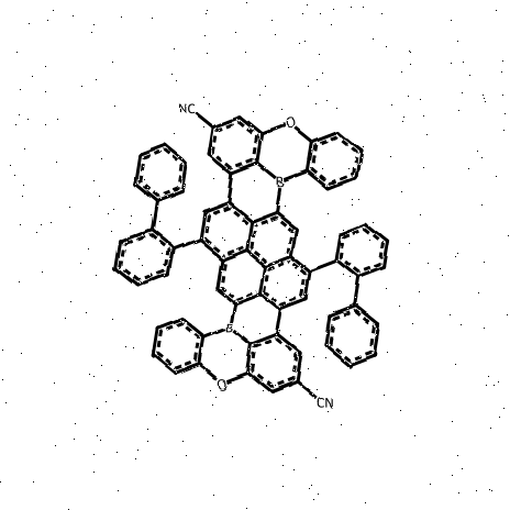 N#Cc1cc2c3c(c1)-c1cc(-c4ccccc4-c4ccccc4)c4cc5c6c(cc(-c7ccccc7-c7ccccc7)c7cc(c1c4c76)B3c1ccccc1O2)-c1cc(C#N)cc2c1B5c1ccccc1O2